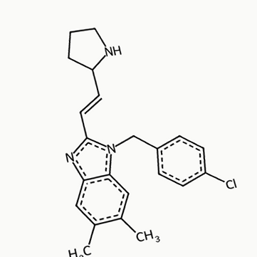 Cc1cc2nc(/C=C/C3CCCN3)n(Cc3ccc(Cl)cc3)c2cc1C